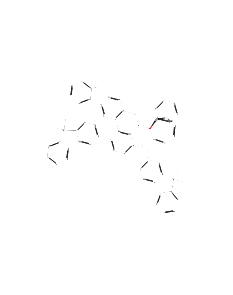 CC1(C)c2ccccc2-c2ccc(-c3c4c(cc5oc6ccccc6c35)CC(Cc3ccccc3)c3c-4cccc3N(C3=CC=CCC=C3)c3ccc4c(c3)C(C)(C)c3ccccc3-4)cc21